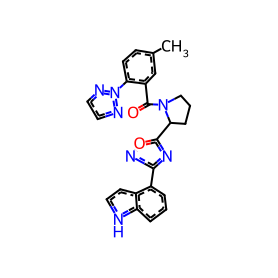 Cc1ccc(-n2nccn2)c(C(=O)N2CCCC2c2nc(-c3cccc4[nH]ccc34)no2)c1